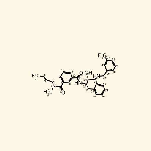 CN(CCCC(F)(F)F)C(=O)c1cccc(C(=O)N[C@@H](Cc2ccccc2)[C@H](O)CNCc2cccc(C(F)(F)F)c2)c1